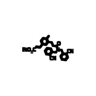 CCOC(=O)/C=C/c1ccc(C)c(CCC(=O)N(Cc2ccccc2C#N)Cc2ccccc2C#N)c1